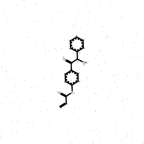 C=CC(=O)Oc1ccc(C(=O)C(O)c2ccccc2)cc1